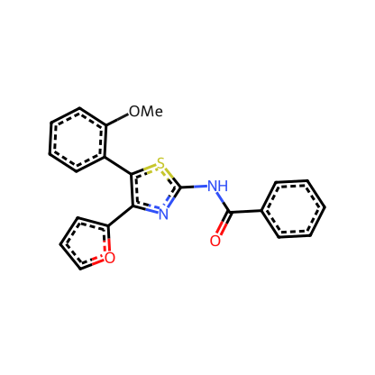 COc1ccccc1-c1sc(NC(=O)c2ccccc2)nc1-c1ccco1